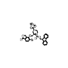 CC(C)(C)OC(=O)N1CCN(C(=O)OCC2c3ccccc3-c3ccccc32)[C@@H](COc2c(Br)ccc3c2COC3=O)C1